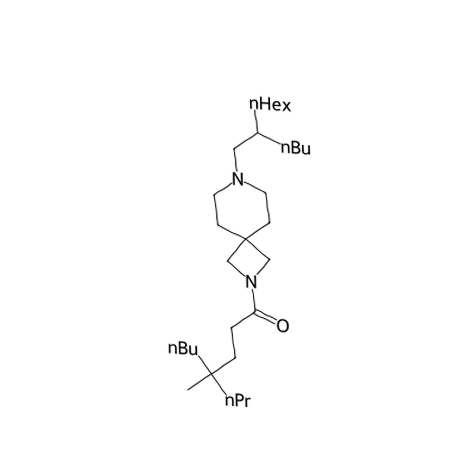 CCCCCCC(CCCC)CN1CCC2(CC1)CN(C(=O)CCC(C)(CCC)CCCC)C2